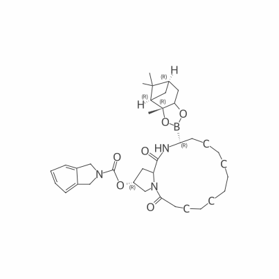 CC1(C)[C@H]2CC3OB([C@@H]4CCCCCCCCCCC(=O)N5C[C@H](OC(=O)N6Cc7ccccc7C6)CC5C(=O)N4)O[C@]3(C)[C@@H]1C2